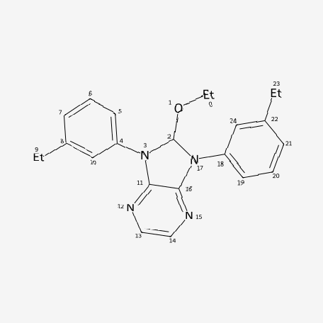 CCOC1N(c2cccc(CC)c2)c2nccnc2N1c1cccc(CC)c1